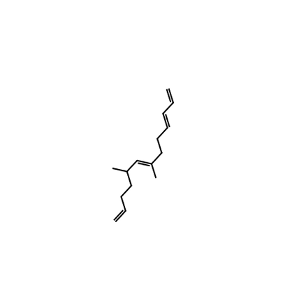 C=CC=CCCC(C)=CC(C)CCC=C